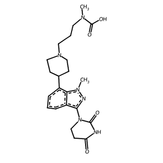 CN(CCCN1CCC(c2cccc3c(N4CCC(=O)NC4=O)nn(C)c23)CC1)C(=O)O